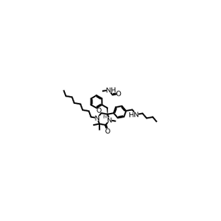 CCCCCCCCN1C(=O)[C@](Cc2ccccc2)(c2ccc(CNCCCC)cc2)N(C)C(=O)C1(C)C.CNC=O